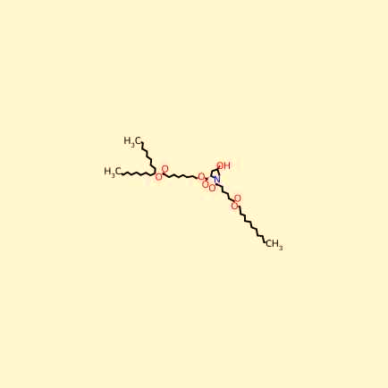 CCCCCCCCCCCOC(=O)CCCCC(=O)N1CC(O)C[C@H]1C(=O)OCCCCCCCC(=O)OC(CCCCCCCC)CCCCCCCC